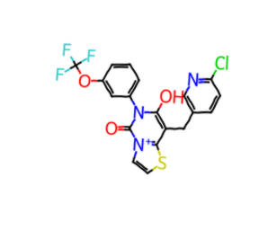 O=c1n(-c2cccc(OC(F)(F)F)c2)c(O)c(Cc2ccc(Cl)nc2)c2scc[n+]12